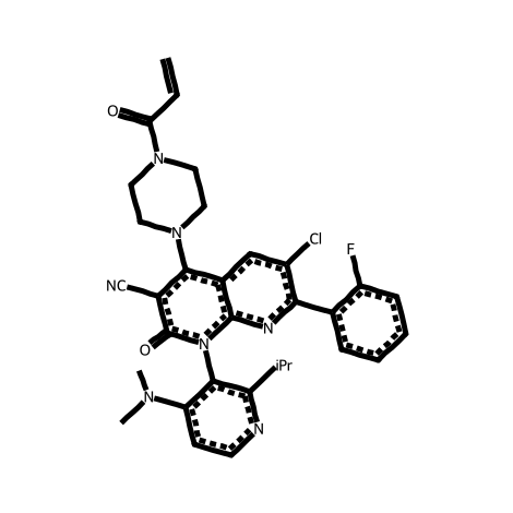 C=CC(=O)N1CCN(c2c(C#N)c(=O)n(-c3c(N(C)C)ccnc3C(C)C)c3nc(-c4ccccc4F)c(Cl)cc23)CC1